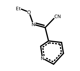 CCON=C(C#N)c1cccnc1